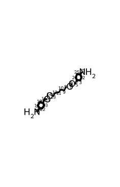 Nc1ccc(COOCCCCCCOOCc2ccc(N)cc2)cc1